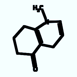 CN1C=CCC2=C1CCCC2=O